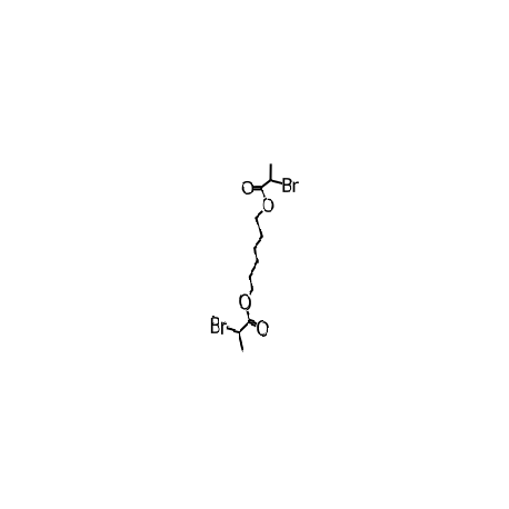 CC(Br)C(=O)OCCCCCCOC(=O)C(C)Br